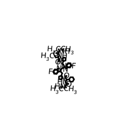 CCCC(NC(=O)C(C)NC)C(=O)N1CCCC1Cn1c(-c2[nH]c3cc(F)ccc3c2CC2CCCN2C(=O)C(NC(=O)C(C)NC)C2CCCCC2)nc2cc(F)ccc21